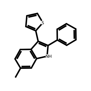 Cc1ccc2c(-c3cccs3)c(-c3ccccc3)[nH]c2c1